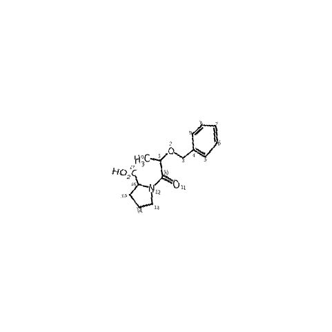 CC(OCc1ccccc1)C(=O)N1CCCC1C(=O)O